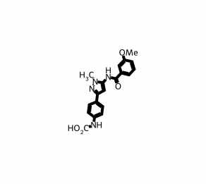 COc1cccc(C(=O)Nc2cc(-c3ccc(NC(=O)O)cc3)nn2C)c1